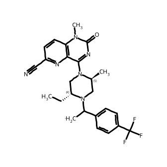 [CH2]C(c1ccc(C(F)(F)F)cc1)N1C[C@H](C)N(c2nc(=O)n(C)c3ccc(C#N)nc23)C[C@H]1CC